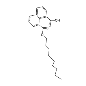 CCCCCCCCCOC(=O)c1cccc2cccc(C(=O)O)c12